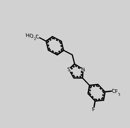 O=C(O)c1ccc(Cc2nc(-c3cc(F)cc(C(F)(F)F)c3)cs2)cc1